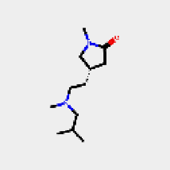 CC(C)CN(C)CC[C@H]1CC(=O)N(C)C1